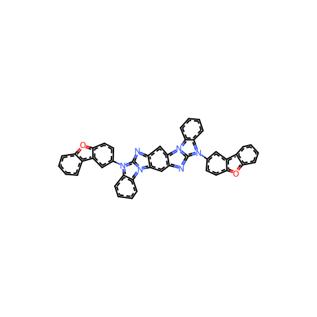 c1ccc2c(c1)oc1ccc(-n3c4ccccc4n4c5cc6nc7n(-c8ccc9oc%10ccccc%10c9c8)c8ccccc8n7c6cc5nc34)cc12